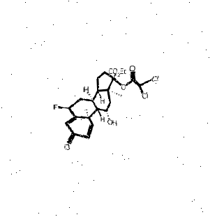 CCOC(=O)[C@@]1(OC(=O)C(Cl)Cl)CC[C@H]2[C@@H]3C[C@H](F)C4=CC(=O)C=C[C@]4(C)[C@H]3[C@@H](O)C[C@@]21C